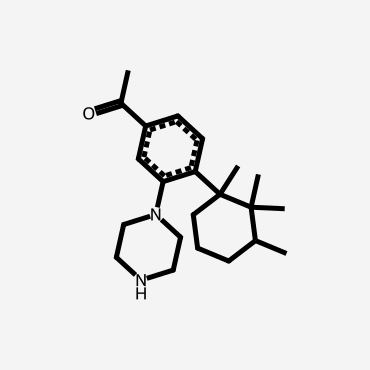 CC(=O)c1ccc(C2(C)CCCC(C)C2(C)C)c(N2CCNCC2)c1